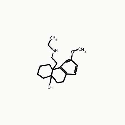 CCNCCC12CCCCC1(O)CCc1ccc(OC)cc12